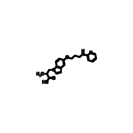 CC(Cn1ccc2cc(OCCCNc3ccccn3)ccc21)C(=O)O